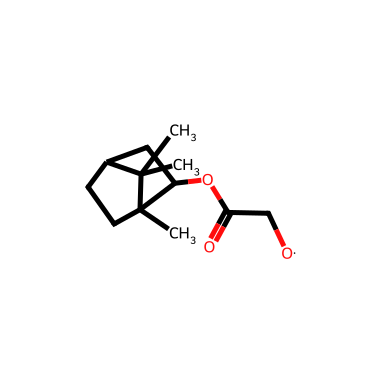 CC1(C)C2CCC1(C)C(OC(=O)C[O])C2